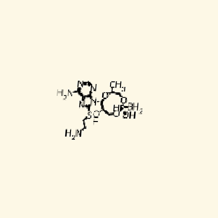 B[PH]1(O)OC[C@H](C)O[C@@H](n2c(SCCN)nc3c(N)ncnc32)[C@@H](O)CO1